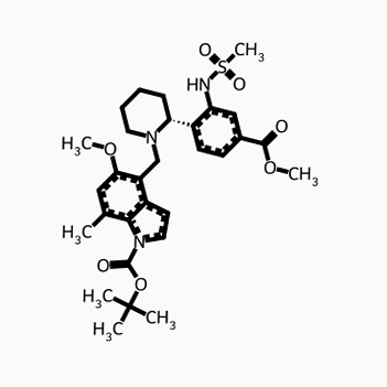 COC(=O)c1ccc([C@H]2CCCCN2Cc2c(OC)cc(C)c3c2ccn3C(=O)OC(C)(C)C)c(NS(C)(=O)=O)c1